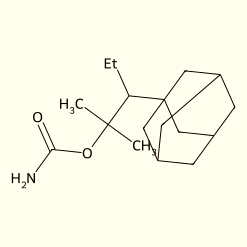 CCC(C12CC3CC(CC(C3)C1)C2)C(C)(C)OC(N)=O